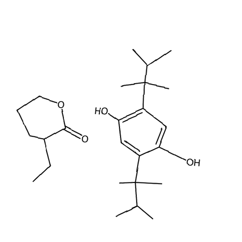 CC(C)C(C)(C)c1cc(O)c(C(C)(C)C(C)C)cc1O.CCC1CCCOC1=O